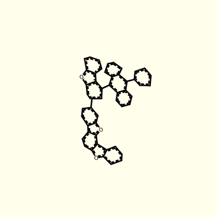 c1ccc(-c2c3ccccc3c(-c3cc(-c4ccc5c(c4)oc4c5ccc5oc6ccccc6c54)cc4oc5ccccc5c34)c3ccccc23)cc1